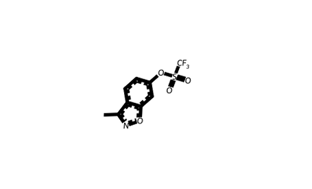 Cc1noc2cc(OS(=O)(=O)C(F)(F)F)ccc12